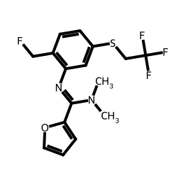 CN(C)/C(=N\c1cc(SCC(F)(F)F)ccc1CF)c1ccco1